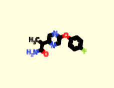 CC(C(N)=O)c1cnc(Oc2ccc(F)cc2)cn1